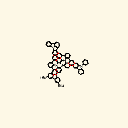 CC(C)(C)c1ccc2c(c1)c1cc(C(C)(C)C)ccc1n2-c1ccc2c(c1)N(c1c(-c3ccccc3)cccc1-c1ccccc1)c1cc(-c3ccc4c(c3)c3cccc5c6ccccc6n4c53)cc3c1B2c1ccc(-c2ccc4c(c2)c2ccccc2n4-c2ccccc2)cc1N3c1c(-c2ccccc2)cccc1-c1ccccc1